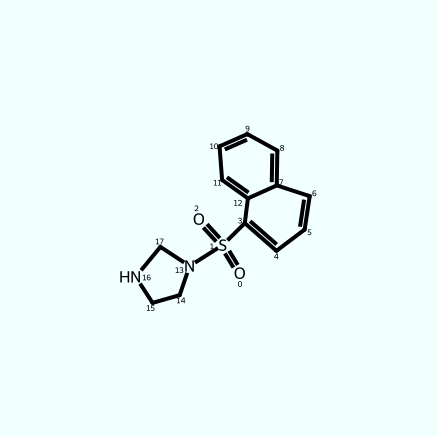 O=S(=O)(c1cccc2ccccc12)N1CCNC1